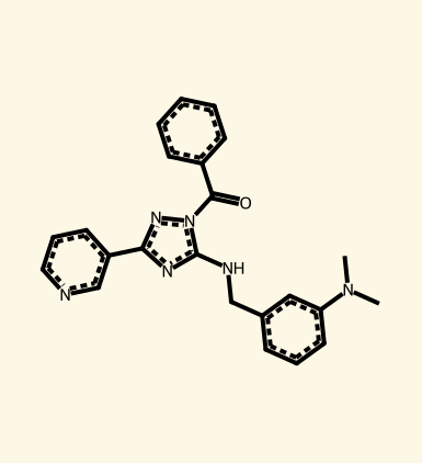 CN(C)c1cccc(CNc2nc(-c3cccnc3)nn2C(=O)c2ccccc2)c1